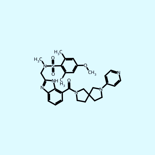 COc1cc(C)c(S(=O)(=O)N(C)Cc2nc3cccc(C(=O)N4CCC5(CCN(c6ccncc6)C5)C4)c3[nH]2)c(C)c1